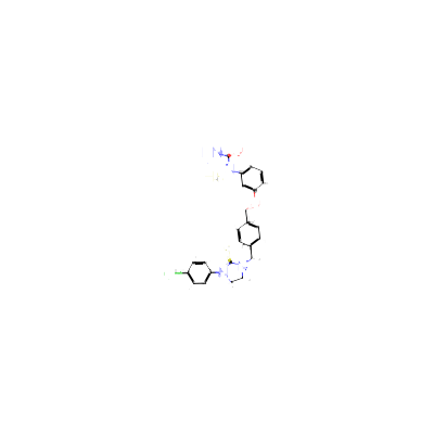 NC(=O)N(S)c1cccc(OCc2ccc(CN3CCN(c4ccc(Cl)cc4)C3=S)cc2)c1